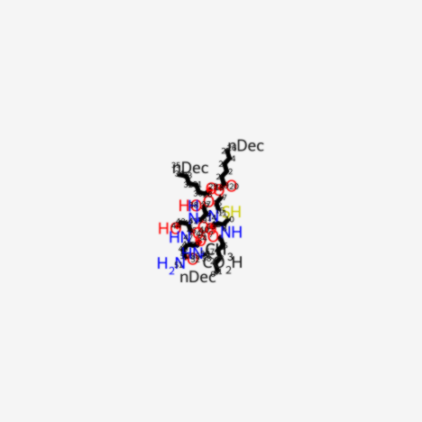 CCCCCCCCCCCCCCCC(=O)NC(CS)C(=O)N(CC(COC(=O)CCCCCCCCCCCCCCC)OC(=O)CCCCCCCCCCCCCCC)C(CO)C(=O)NC(CO)C(=O)NC(CC(N)=O)C(=O)NC(C)C(=O)O